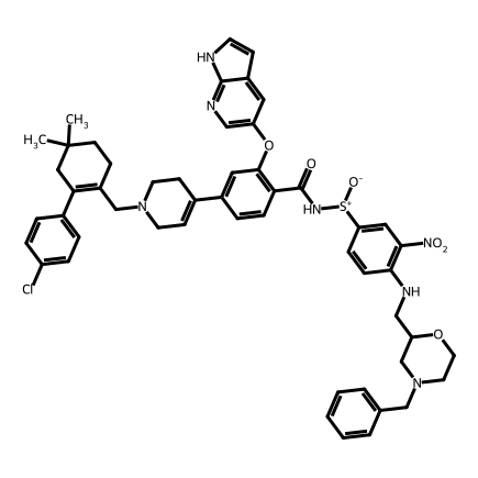 CC1(C)CCC(CN2CC=C(c3ccc(C(=O)N[S+]([O-])c4ccc(NCC5CN(Cc6ccccc6)CCO5)c([N+](=O)[O-])c4)c(Oc4cnc5[nH]ccc5c4)c3)CC2)=C(c2ccc(Cl)cc2)C1